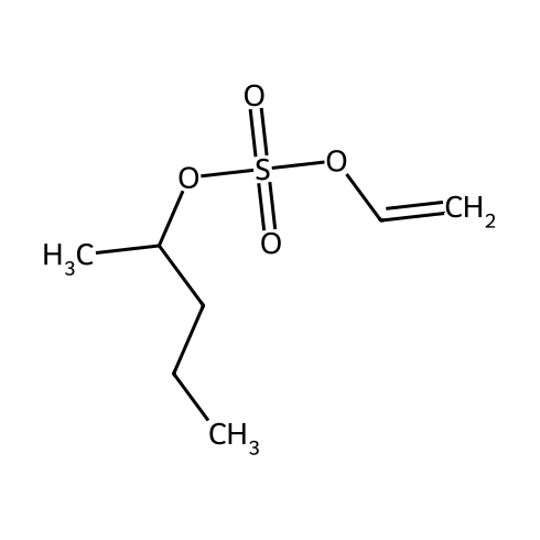 C=COS(=O)(=O)OC(C)CCC